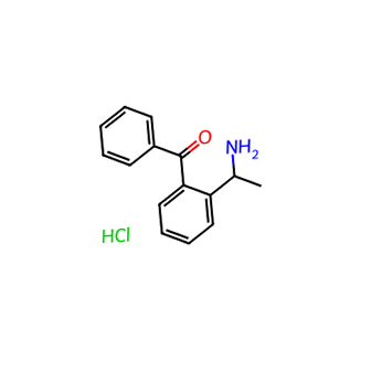 CC(N)c1ccccc1C(=O)c1ccccc1.Cl